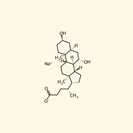 C[C@H](CCC(=O)[O-])[C@H]1CC[C@H]2[C@@H]3[C@@H](O)C[C@@H]4C[C@H](O)CC[C@]4(C)[C@H]3CC[C@]12C.[Na+]